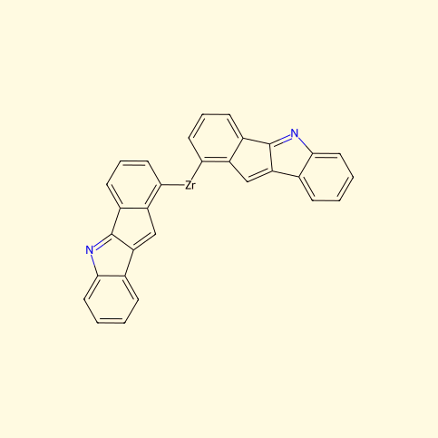 C1=C2C(=Nc3ccccc32)c2ccc[c]([Zr][c]3cccc4c3C=C3C4=Nc4ccccc43)c21